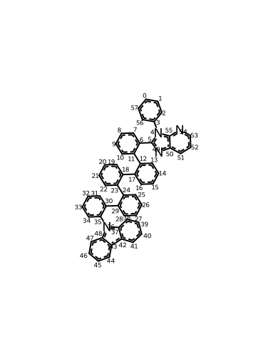 c1ccc(-n2c(-c3ccccc3-c3ccccc3-c3ccccc3-c3ccccc3-c3ccccc3-n3c4ccccc4c4ccccc43)nc3cccnc32)cc1